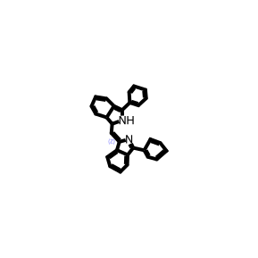 C1=CC2=C(c3ccccc3)NC(/C=C3\N=C(c4ccccc4)c4ccccc43)C2C=C1